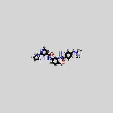 CCN(CC)Cc1ccc(C(=O)Nc2cc(NC(=O)c3ccnc(N4CCCC4)c3)ccc2C)cc1